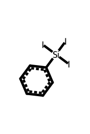 I[Si](I)(I)c1ccccc1